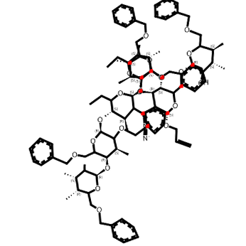 C=CCO[C@H]1OC(CO[C@@H]2OC(COCc3ccccc3)[C@@H](C)[C@H](C)C2O)[C@@H](O[C@@H]2OC(COCc3ccccc3)[C@@H](C)[C@H](C)C2O[C@@H]2OC(CC)[C@@H](O[C@@H]3OC(COCc4ccccc4)[C@H](O[C@H]4OC(COCc5ccccc5)[C@H](C)[C@H](C)C4C)[C@H](C)C3OCc3ccccc3)[C@H](C)C2N=[N+]=[N-])[C@H](O[C@@H]2OC(CC)[C@@H](C)[C@H](C)C2OCc2ccccc2)C1C